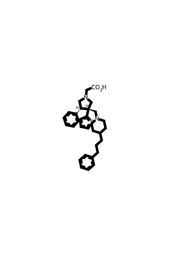 O=C(O)CN1C[C@@H](c2ccccc2)[C@@](CN2CCC(CCCc3ccccc3)CC2)(c2cccs2)C1